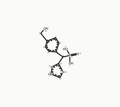 O=P(O)(O)C(c1ccc(CO)cc1)c1nc[nH]n1